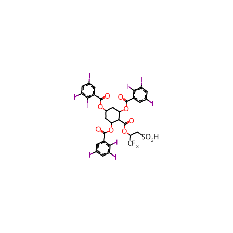 O=C(OC1CC(OC(=O)c2cc(I)cc(I)c2I)C(C(=O)OC(CS(=O)(=O)O)C(F)(F)F)C(OC(=O)c2cc(I)cc(I)c2I)C1)c1cc(I)cc(I)c1I